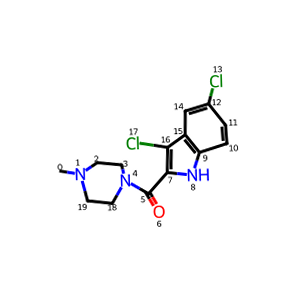 CN1CCN(C(=O)c2[nH]c3ccc(Cl)cc3c2Cl)CC1